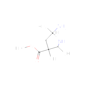 COC(=O)C(C)(CC(C)(C)N)C(C)N